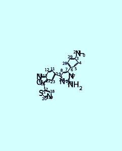 CN(C)c1ccc(-c2cc(-c3ccc4noc(-c5cncs5)c4c3)nc(N)n2)cc1